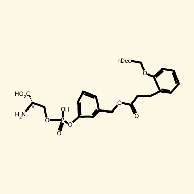 CCCCCCCCCCCOc1ccccc1CCC(=O)OCc1cccc(OP(=O)(O)OC[C@H](N)C(=O)O)c1